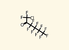 O=C(C(F)(F)Cl)C(F)(F)C(F)(F)C(F)(F)C(F)(F)F